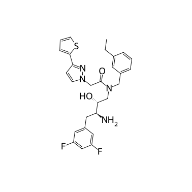 CCc1cccc(CN(C[C@@H](O)[C@@H](N)Cc2cc(F)cc(F)c2)C(=O)Cn2ccc(-c3cccs3)n2)c1